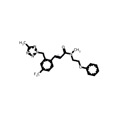 Cc1nnn(Cc2cc(C(F)(F)F)ccc2/C=C/C(=O)N(C)CCOc2ccccc2)n1